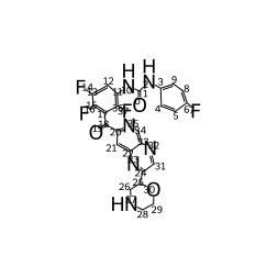 O=C(Nc1ccc(F)cc1)Nc1cc(F)c(F)c(C(=O)c2cc3nc(C4CNCCO4)cnc3cn2)c1F